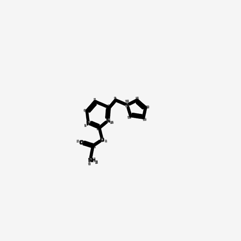 NC(=O)Oc1nccc(Cn2cccc2)n1